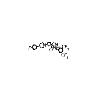 N#CC1(C(=O)NCc2cc(C(F)(F)F)cc(C(F)(F)F)c2)CCC(N2CCC(c3ccc(F)cc3)CC2)C1